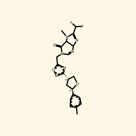 Cc1ccc([C@H]2C[C@H](c3noc(CN4C=NC5N=C(C(F)F)N(C)C5C4=O)n3)CO2)cc1